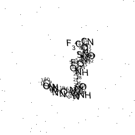 Cc1nc(-c2ncn(C3CCCCO3)n2)ccc1-c1cnc2c(n1)N(CCCCCNC(=O)c1ccc(N3C(=S)N(c4ccc(C#N)c(C(F)(F)F)c4)C(=O)C3(C)C)cc1F)C(=O)CN2